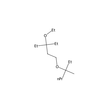 CCCC(C)(CC)OCCC(CC)(CC)OCC